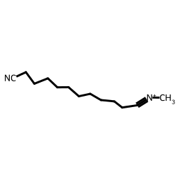 C[N+]#CCCCCCCCCCCC#N